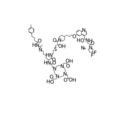 C/C(=N\CCCCC(NC(=O)CN1CCN(CC(=O)O)CCN(CC(=O)O)CCN(CC(=O)O)CC1)C(=O)NCCSC[C@@H](O)C(=O)N1CCC(CCCOc2ccc3nccc(C(O)NCC(=O)N4CC(F)(F)C[C@@H]4C#N)c3c2)CC1)NC(=O)CCCc1ccc(C)cc1